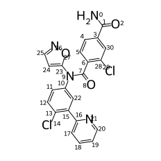 NC(=O)c1ccc(C(=O)N(c2ccc(Cl)c(-c3ccccn3)c2)c2ccno2)c(Cl)c1